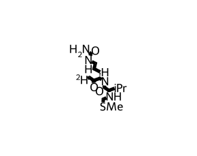 [2H]CC(=O)[C@H](CCCNC(N)=O)NC(=O)C(NCSC)C(C)C